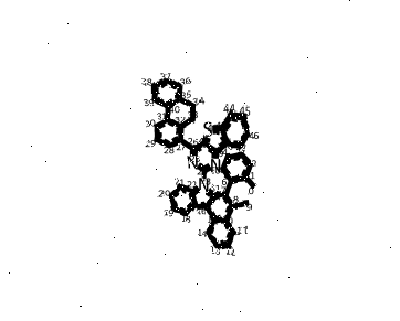 Cc1ccccc1-c1c(C)c2ccccc2c2c3ccccc3n(-c3nc(-c4cccc5c4CCc4ccccc4-5)c4sc5ccccc5c4n3)c12